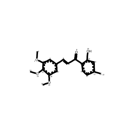 COc1cc(/C=C/C(=O)c2ccc(I)cc2O)cc(OC)c1OC